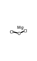 ClOCl.[Mg]